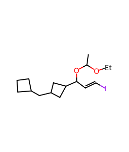 CCOC(C)OC(C=CI)C1CC(CC2CCC2)C1